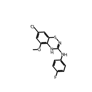 COc1cc(Cl)cc2c1NC(Nc1ccc(F)cc1)=NS2